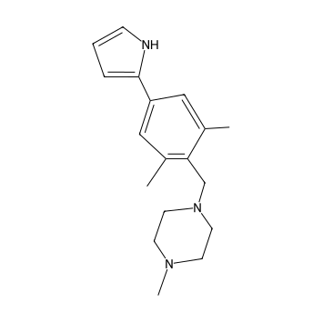 Cc1cc(-c2ccc[nH]2)cc(C)c1CN1CCN(C)CC1